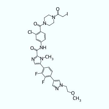 COCCn1cc(-c2ccc(-c3cnc(C(=O)Nc4ccc(C(=O)N5CCN(C(=O)CI)CC5)c(Cl)c4)n3C)c(F)c2F)cn1